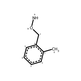 Cc1ccccc1CO[NH]